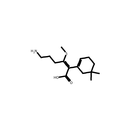 CS/C(CCCN)=C(/C(=O)O)C1=CCCC(C)(C)C1